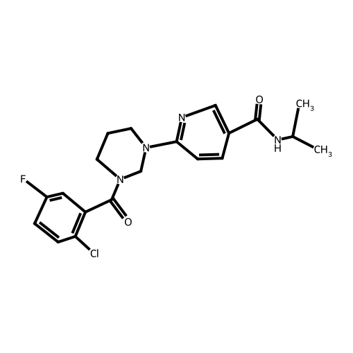 CC(C)NC(=O)c1ccc(N2CCCN(C(=O)c3cc(F)ccc3Cl)C2)nc1